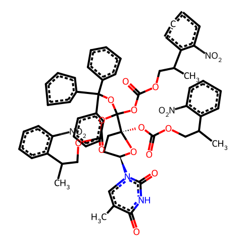 Cc1cn([C@H]2CC[C@@](OC(=O)OCC(C)c3ccccc3[N+](=O)[O-])(C(OC(=O)OCC(C)c3ccccc3[N+](=O)[O-])(OC(=O)OCC(C)c3ccccc3[N+](=O)[O-])OC(c3ccccc3)(c3ccccc3)c3ccccc3)O2)c(=O)[nH]c1=O